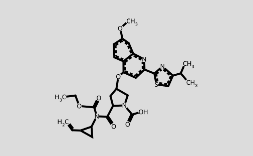 C=CC1CC1N(C(=O)OCC)C(=O)C1CC(Oc2cc(-c3nc(C(C)C)cs3)nc3cc(OC)ccc23)CN1C(=O)O